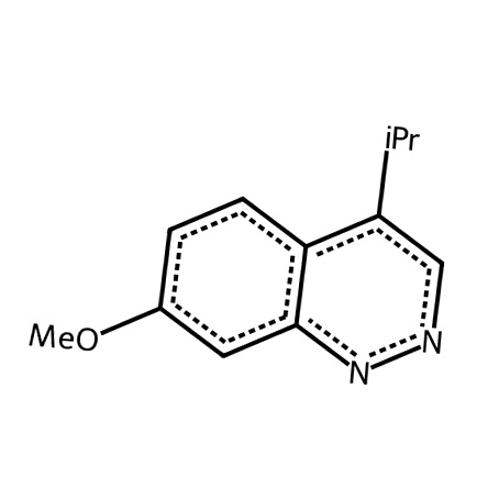 COc1ccc2c(C(C)C)cnnc2c1